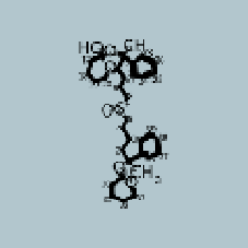 CC(CCCC[S+]([O-])CCCCC(C)(OC1(O)CCCCO1)c1ccccc1)(OC1CCCCO1)c1ccccc1